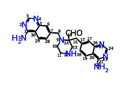 Nc1ncnc2cc(CN3CCNCC3(C=O)Cc3ccc4c(N)ncnc4c3)ccc12